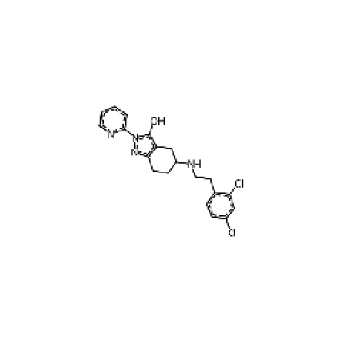 Oc1c2c(nn1-c1ccccn1)CCC(NCCc1ccc(Cl)cc1Cl)C2